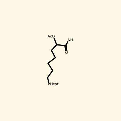 CCCCCCCCCCCCC(OC(C)=O)C([NH])=O